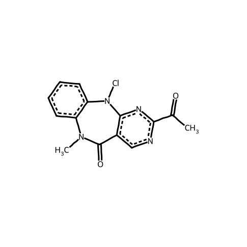 CC(=O)c1ncc2c(n1)N(Cl)c1ccccc1N(C)C2=O